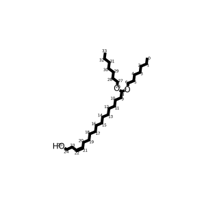 CCCCCCCOC(CCCCCCCCCCCC/C=C\CCO)OCCCCCCC